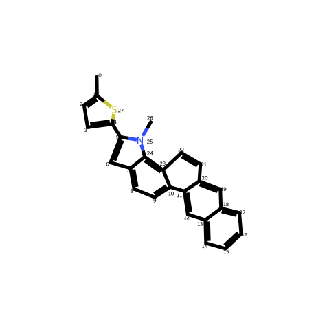 Cc1ccc(-c2cc3ccc4c5cc6ccccc6cc5ccc4c3n2C)s1